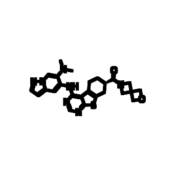 CN(C)c1cn2nccc2cc1Nc1ncnc2sc3c(c12)CC[C@H](C(=O)N1CC2(COC2)C1)C3